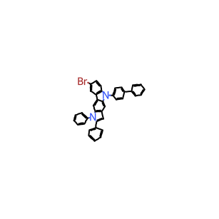 Brc1ccc2c(c1)c1cc3c(cc(-c4ccccc4)n3-c3ccccc3)cc1n2-c1ccc(-c2ccccc2)cc1